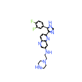 Fc1ccc(-c2[nH]cnc2-c2ccc3ncc(NCCN4CCNCC4)cc3n2)cc1F